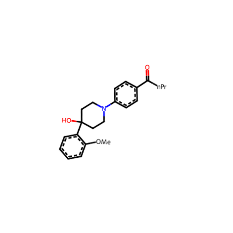 CCCC(=O)c1ccc(N2CCC(O)(c3ccccc3OC)CC2)cc1